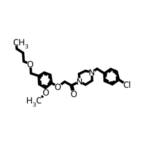 CCCCOCc1ccc(OCC(=O)N2CCN(Cc3ccc(Cl)cc3)CC2)c(OC)c1